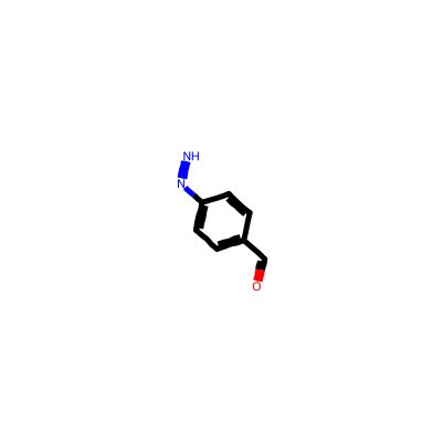 N=Nc1ccc(C=O)cc1